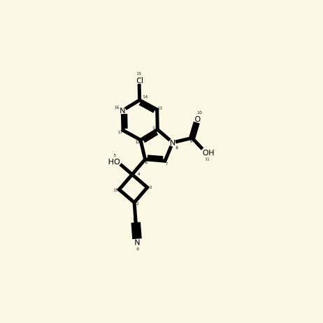 N#CC1CC(O)(c2cn(C(=O)O)c3cc(Cl)ncc23)C1